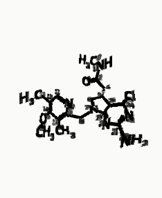 CNC(=O)C[C@H]1CN(Cc2ncc(C)c(OC)c2C)c2nc(N)nc(Cl)c21